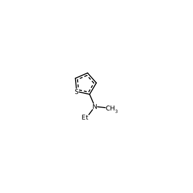 CCN(C)c1cccs1